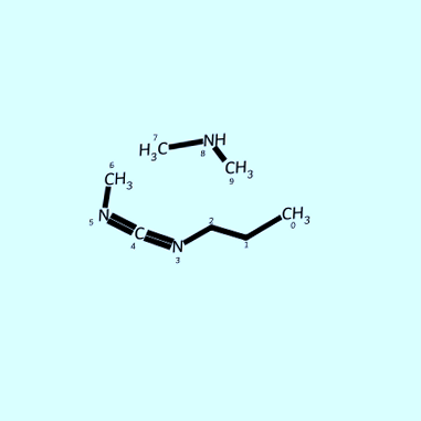 CCCN=C=NC.CNC